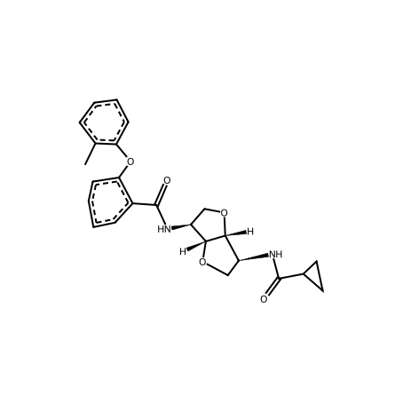 Cc1ccccc1Oc1ccccc1C(=O)N[C@H]1CO[C@H]2[C@@H]1OC[C@@H]2NC(=O)C1CC1